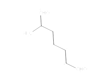 CC([C]=O)CCCC[C]=O